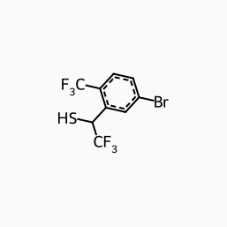 FC(F)(F)c1ccc(Br)cc1C(S)C(F)(F)F